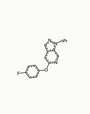 CCCn1ncc2cc(Oc3ccc(F)cc3)ncc21